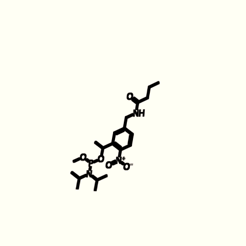 CCCC(=O)NCc1ccc([N+](=O)[O-])c(C(C)OP(OC)N(C(C)C)C(C)C)c1